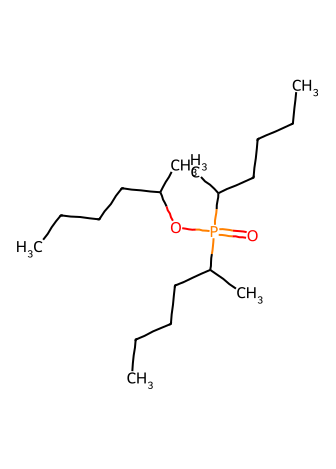 CCCCC(C)OP(=O)(C(C)CCCC)C(C)CCCC